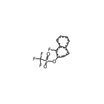 O=S(=O)(Oc1ccc2ccccc2c1F)C(F)(F)F